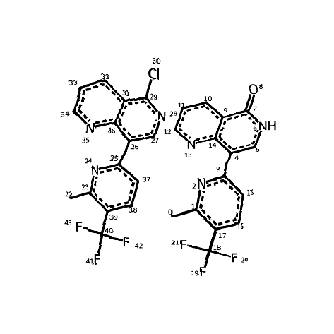 Cc1nc(-c2c[nH]c(=O)c3cccnc23)ccc1C(F)(F)F.Cc1nc(-c2cnc(Cl)c3cccnc23)ccc1C(F)(F)F